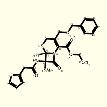 CSC1(NC(=O)Cc2cccs2)C(=O)N2C(C(=O)OCC(Cl)(Cl)Cl)=C(COCc3ccccc3)CS[C@H]21